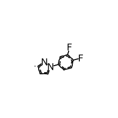 Fc1ccc(-n2cc[c]n2)cc1F